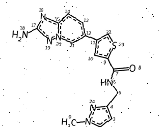 Cn1ccc(CNC(=O)c2cc(-c3ccc4nc(N)nn4c3)cs2)n1